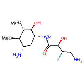 CO[C@@H]1[C@@H](O)[C@H](NC(=O)[C@@H](O)[C@H](F)CN)C[C@H](N)[C@H]1OC